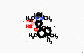 CC1CC[C@@H]2C(C)(C)CCC[C@@]2(C)c2c1oc1c(B(O)O)c(N(C)C)c(N(C)C)cc21